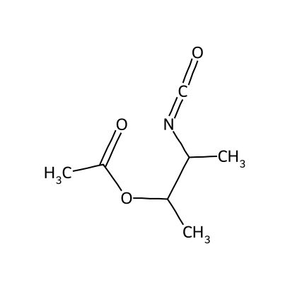 CC(=O)OC(C)C(C)N=C=O